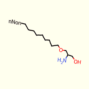 CCCCCCCCCCCCCCCCCCOCC(N)CO